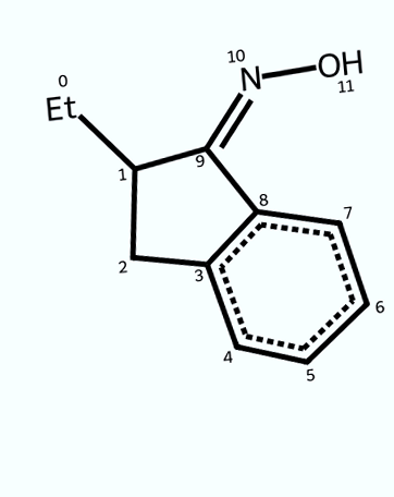 CCC1Cc2ccccc2C1=NO